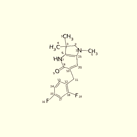 CN1CC(C)(C)c2[nH]c(=O)c(Cc3ccc(F)cc3F)cc21